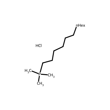 CCCCCCCCCCCC[P](C)(C)C.Cl